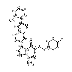 CC1CCN(CCNC(=O)c2c(C(N)=O)ncn2-c2ccc(NC(=O)c3ccccc3Cl)cc2)CC1